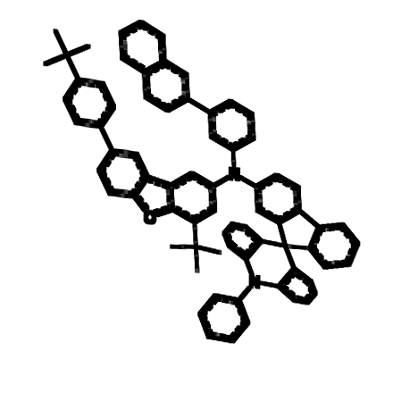 CC(C)(C)c1ccc(-c2ccc3oc4c(C(C)(C)C)cc(N(c5cccc(-c6ccc7ccccc7c6)c5)c5ccc6c(c5)C5(c7ccccc7-6)c6ccccc6N(c6ccccc6)c6ccccc65)cc4c3c2)cc1